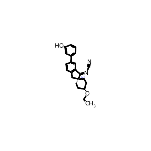 CCO[C@H]1CC[C@]2(CC1)Cc1ccc(-c3cccc(O)c3)cc1/C2=N\C#N